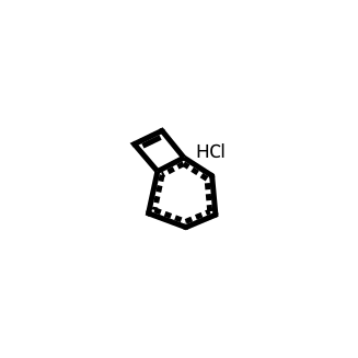 C1=Cc2ccccc21.Cl